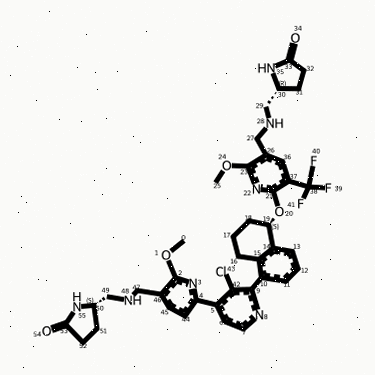 COc1nc(-c2ccnc(-c3cccc4c3CCC[C@@H]4Oc3nc(OC)c(CNC[C@H]4CCC(=O)N4)cc3C(F)(F)F)c2Cl)ccc1CNC[C@@H]1CCC(=O)N1